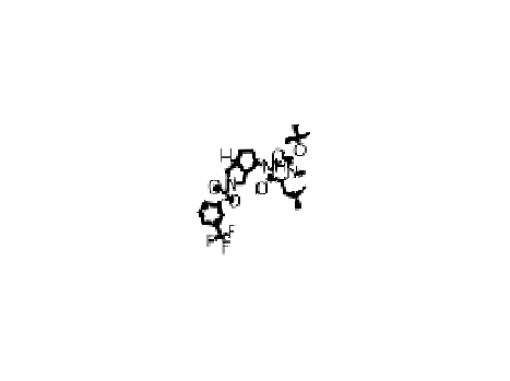 CC(C)CC(C(=O)N[C@H]1CC[C@@H]2CN(S(=O)(=O)c3cccc(C(F)(F)F)c3)CC21)N(C)C(=O)OC(C)(C)C